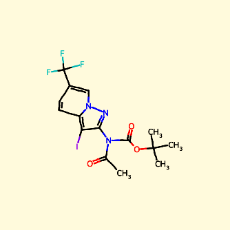 CC(=O)N(C(=O)OC(C)(C)C)c1nn2cc(C(F)(F)F)ccc2c1I